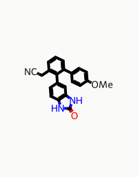 COc1ccc(-c2cccc(CC#N)c2-c2ccc3[nH]c(=O)[nH]c3c2)cc1